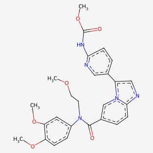 COCCN(C(=O)c1ccc2ncc(-c3ccc(NC(=O)OC)nc3)n2c1)c1ccc(OC)c(OC)c1